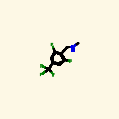 CNCc1c(F)cc(C(F)(F)F)cc1F